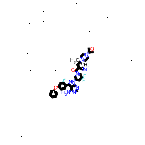 CC(C)(C=C(C#N)C(=O)N1CC(n2nc(-c3ccc(Oc4ccccc4)cc3F)c3c(N)ncnc32)CC(F)(F)C1)N1CCN(C2COC2)CC1